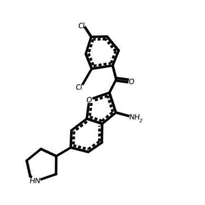 Nc1c(C(=O)c2ccc(Cl)cc2Cl)oc2cc(C3CCCNC3)ccc12